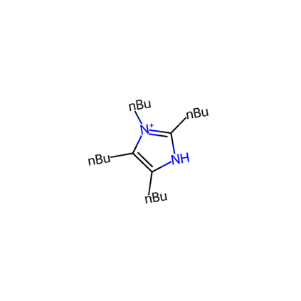 CCCCc1[nH]c(CCCC)[n+](CCCC)c1CCCC